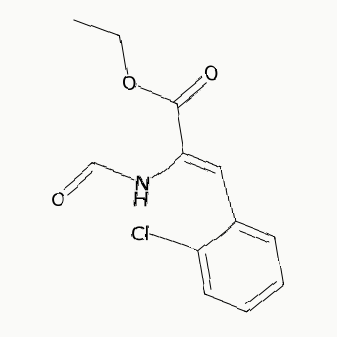 CCOC(=O)/C(=C/c1ccccc1Cl)NC=O